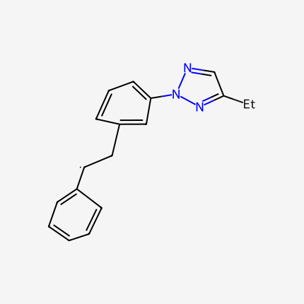 CCc1cnn(-c2cccc(C[CH]c3ccccc3)c2)n1